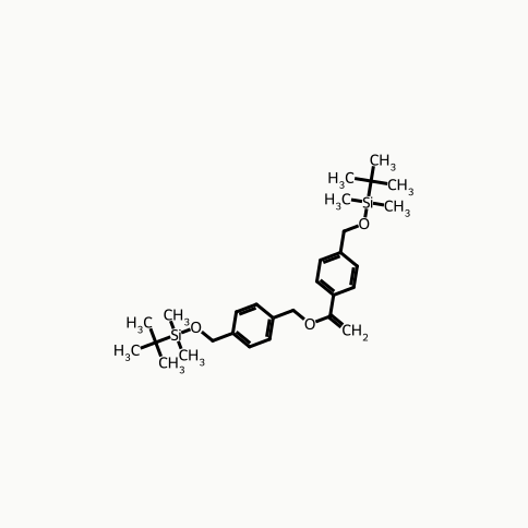 C=C(OCc1ccc(CO[Si](C)(C)C(C)(C)C)cc1)c1ccc(CO[Si](C)(C)C(C)(C)C)cc1